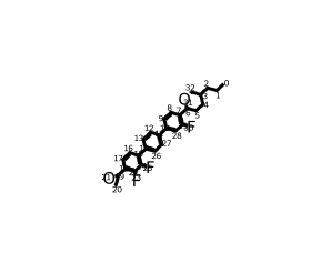 CCCC1CCC(c2ccc(-c3ccc(-c4ccc(C5CO5)c(F)c4F)cc3)cc2F)OC1